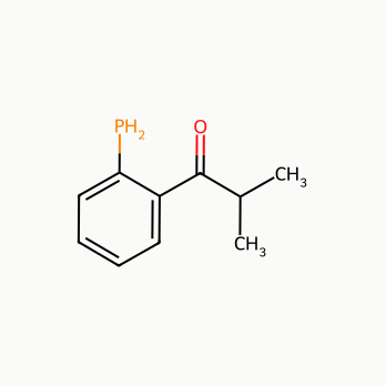 CC(C)C(=O)c1ccccc1P